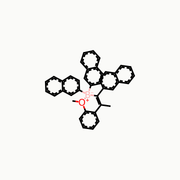 CC1=C(c2ccc3ccccc3c2)[B-](c2ccc3ccccc3c2)(c2ccc3ccccc3c2)[O+](C)c2ccccc21